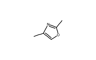 Cc1coc(C)n1